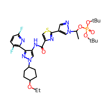 CCOC1CCC(n2cc(NC(=O)c3csc(-c4cnn(C(C)OP(=O)(OC(C)(C)C)OC(C)(C)C)c4)n3)c(-c3nc(F)ccc3F)n2)CC1